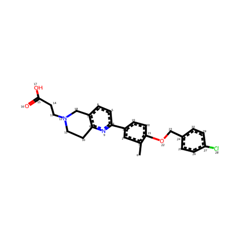 Cc1cc(-c2ccc3c(n2)CCN(CCC(=O)O)C3)ccc1OCc1ccc(Cl)cc1